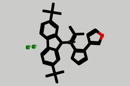 C[C](C)=[Zr+2]([C]1=C(c2ccoc2)C=CC1)[CH]1c2cc(C(C)(C)C)ccc2-c2ccc(C(C)(C)C)cc21.[Cl-].[Cl-]